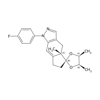 C[C@@H]1O[C@]2(CCC3=Cc4c(cnn4-c4ccc(F)cc4)C[C@@]32C)O[C@@H]1C